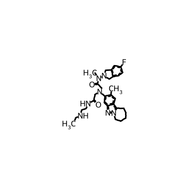 CCNCCNC(=O)CN(CC(=O)N(C)N1Cc2ccc(F)cc2C1)c1cc2nn3c(c2cc1C)CCCCC3